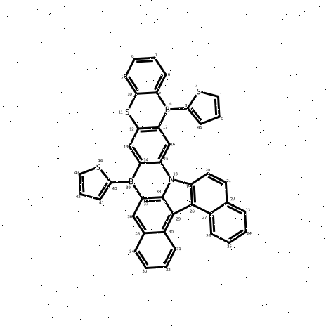 c1csc(B2c3ccccc3Sc3cc4c(cc32)-n2c3ccc5ccccc5c3c3c5ccccc5cc(c32)B4c2cccs2)c1